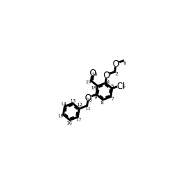 COCOc1c(Cl)ccc(OCc2ccccc2)c1C=O